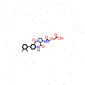 Cc1cccc(-c2ccc3c(c2)C(=O)N2CCC(NC(=O)COCC(=O)O)C2C(=O)N3)c1C